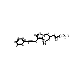 O=C(O)NCC1CNc2c(CC#Cc3ccccc3)cnn2C1